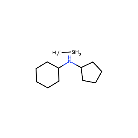 C1CCC(NC2CCCC2)CC1.C[SiH3]